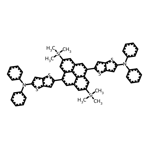 C[Si](C)(C)c1cc2cc(-c3cc4sc(N(c5ccccc5)c5ccccc5)cc4s3)c3cc([Si](C)(C)C)cc4cc(-c5cc6sc(N(c7ccccc7)c7ccccc7)cc6s5)c(c1)c2c43